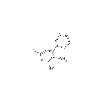 CC(C)c1cc(F)cc(-c2cccnc2)c1N